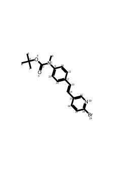 CN(C(=O)OC(C)(C)C)c1ccc(/C=C/c2ccc(Br)nc2)cc1